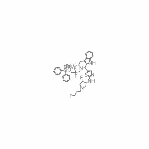 C[C@@H]1Cc2c([nH]c3ccccc23)[C@@H](c2cnc(N[C@H]3CN(CCCF)C[C@@H]3F)s2)N1CC(F)(F)CO[Si](c1ccccc1)(c1ccccc1)C(C)(C)C